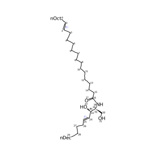 CCCCCCCC/C=C/CCCCCCCCCCCCCC(=O)N[C@@H](CO)[C@H](O)/C=C/CCCCCCCCCCCCC